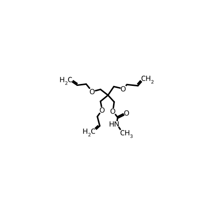 C=CCOCC(COCC=C)(COCC=C)COC(=O)NC